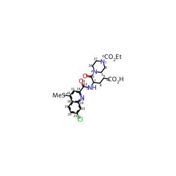 CCOC(=O)N1CCN(C(=O)C(CCC(=O)O)NC(=O)c2cc(SC)c3ccc(Cl)cc3n2)CC1